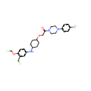 O=C(COC1CCC(Nc2ccc(OCF)c(CF)c2)CC1)N1CCN(c2ccc(Cl)cc2)CC1